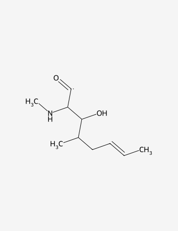 CC=CCC(C)C(O)C([C]=O)NC